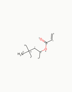 C=CC(=O)OC(C)CC(C)(C)[SiH3]